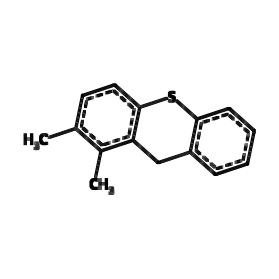 Cc1ccc2c(c1C)Cc1ccccc1S2